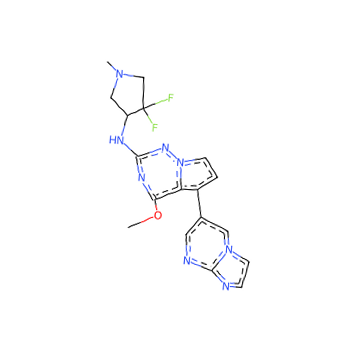 COc1nc(NC2CN(C)CC2(F)F)nn2ccc(-c3cnc4nccn4c3)c12